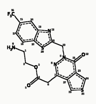 NCCOC(=O)Cc1nn(Cc2nc3cc(C(F)(F)F)ccc3s2)c(=O)c2cscc12